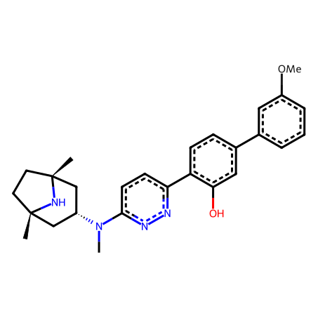 COc1cccc(-c2ccc(-c3ccc(N(C)[C@@H]4C[C@]5(C)CC[C@](C)(C4)N5)nn3)c(O)c2)c1